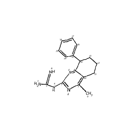 Cc1nc(NC(=N)N)nc2c1CCCC2c1ccccc1